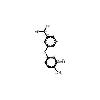 Cc1ccc(Sc2cccc(C(F)F)c2)cc1Cl